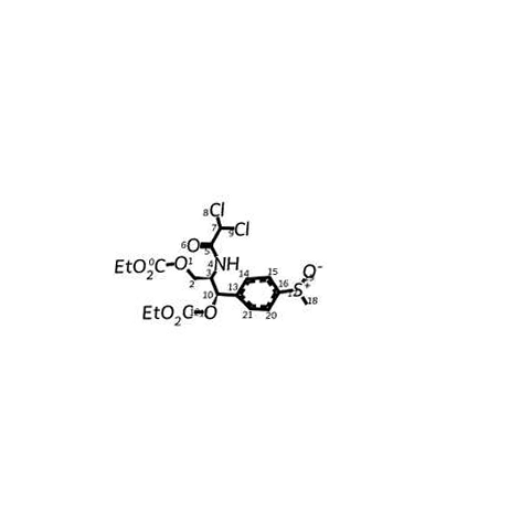 CCOC(=O)OC[C@@H](NC(=O)C(Cl)Cl)[C@H](OC(=O)OCC)c1ccc([S+](C)[O-])cc1